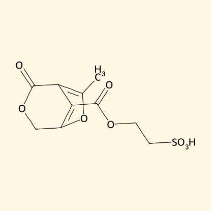 Cc1oc2c(C(=O)OCCS(=O)(=O)O)c1C(=O)OC2